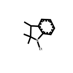 CCN1c2ccccc2C(C)C1(C)C